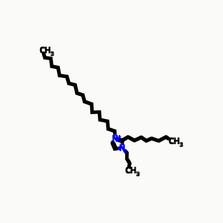 CCCCCCCCCCCCCCCCCCC[n+]1ccn(CCCC)c1CCCCCCCC